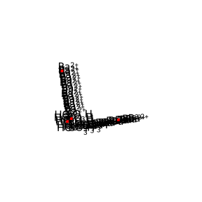 O=S(=O)(O)O.O=S(=O)(O)O.O=S(=O)(O)O.O=S(=O)(O)O.O=S(=O)(O)O.O=S(=O)(O)O.O=S(=O)(O)O.O=S(=O)(O)O.[Ba+2].[Ba+2].[Ba+2].[Ba+2].[Ba+2].[Ba+2].[Ba+2].[Ba+2].[Ba+2].[Ba+2].[Ba+2].[Ba+2].[Ba+2].[Ba+2].[Ba+2].[Ba+2].[Ba+2].[Ba+2].[Ba+2].[Ba+2].[Ba+2].[Ba+2].[Ba+2].[Ba+2].[Ba+2].[Ba+2].[Ba+2].[Ba+2].[Ba+2].[Ba+2].[Ba+2].[Ba+2].[Ba+2].[Ba+2].[Ba+2]